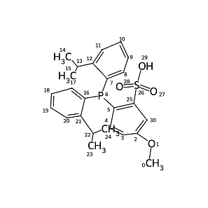 COc1ccc(P(c2ccccc2C(C)C)c2ccccc2C(C)C)c(S(=O)(=O)O)c1